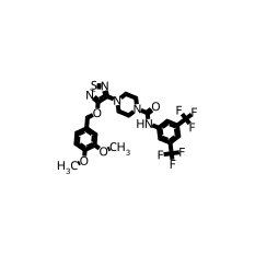 COc1ccc(COc2nsnc2N2CCN(C(=O)Nc3cc(C(F)(F)F)cc(C(F)(F)F)c3)CC2)cc1OC